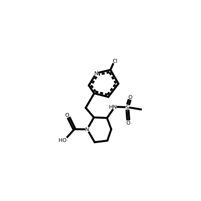 CS(=O)(=O)NC1CCCN(C(=O)O)C1Cc1ccc(Cl)nc1